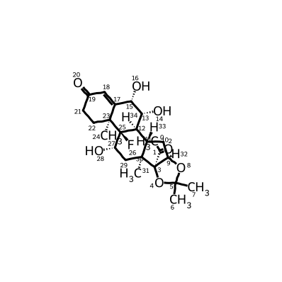 CC(=O)[C@@]12OC(C)(C)O[C@@H]1C[C@H]1[C@@H]3[C@@H](O)[C@@H](O)C4=CC(=O)CC[C@]4(C)[C@@]3(F)[C@@H](O)C[C@@]12C